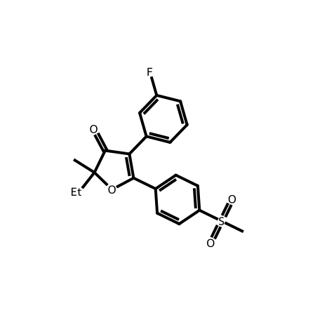 CCC1(C)OC(c2ccc(S(C)(=O)=O)cc2)=C(c2cccc(F)c2)C1=O